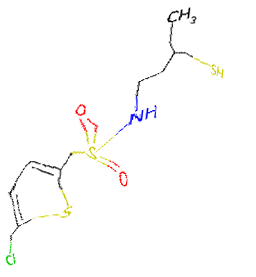 CC(S)CNS(=O)(=O)c1ccc(Cl)s1